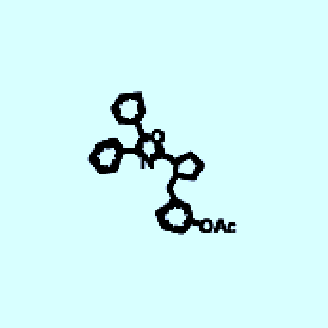 CC(=O)Oc1cccc(CC2CCCC2c2nc(-c3ccccc3)c(-c3ccccc3)o2)c1